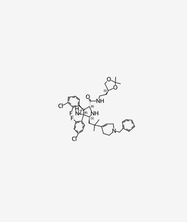 CC1(C)OC[C@H](CCNC(=O)[C@@H]2N[C@@H](CC(C)(C)C3=CCN(Cc4ccccc4)CC3)[C@](N)(c3ccc(Cl)cc3F)[C@H]2c2cccc(Cl)c2F)O1